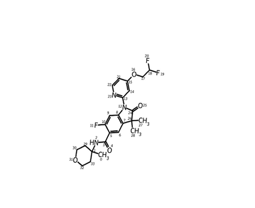 CC1(NC(=O)c2cc3c(cc2F)N(c2cc(OCC(F)F)ccn2)C(=O)C3(C)C)CCOCC1